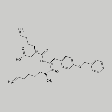 C=CCCCCN(C)C(=O)[C@H](Cc1ccc(OCc2ccccc2)cc1)NC(=O)[C@H](CCCC=C)CC(=O)O